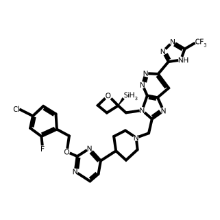 Fc1cc(Cl)ccc1COc1nccc(C2CCN(Cc3nc4cc(-c5nnc(C(F)(F)F)[nH]5)nnc4n3C[C@]3([SiH3])CCO3)CC2)n1